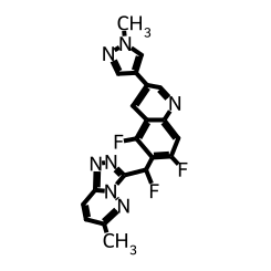 Cc1ccc2nnc(C(F)c3c(F)cc4ncc(-c5cnn(C)c5)cc4c3F)n2n1